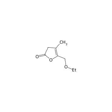 CCOCC1=C(C)CC(=O)O1